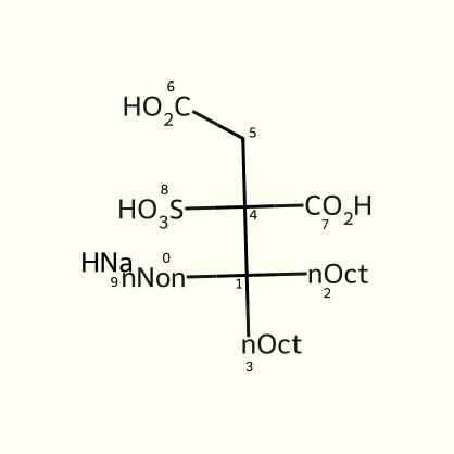 CCCCCCCCCC(CCCCCCCC)(CCCCCCCC)C(CC(=O)O)(C(=O)O)S(=O)(=O)O.[NaH]